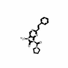 Cn1c(=O)n(C(=O)N2CCCC2)c2nc(/C=C/c3ccccc3)ncc21